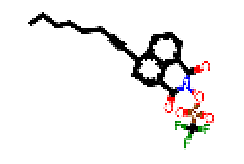 CCCCCCC#Cc1ccc2c3c(cccc13)C(=O)N(OS(=O)(=O)C(F)(F)F)C2=O